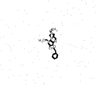 CCN1C=C(C)C(OCCc2ccccc2)C2=C1N1CN(OC)C=C1C=N2